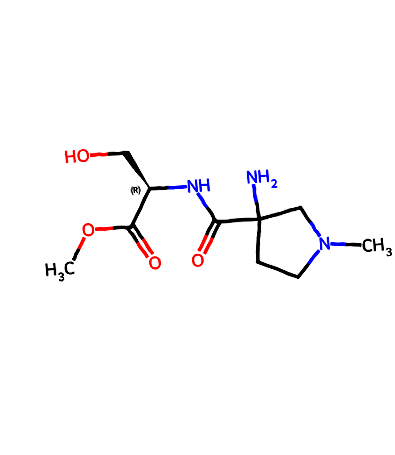 COC(=O)[C@@H](CO)NC(=O)C1(N)CCN(C)C1